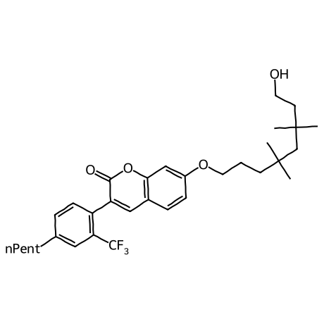 CCCCCc1ccc(-c2cc3ccc(OCCCC(C)(C)CC(C)(C)CCO)cc3oc2=O)c(C(F)(F)F)c1